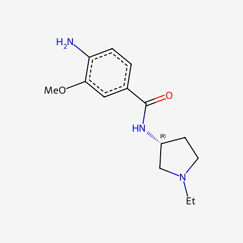 CCN1CC[C@@H](NC(=O)c2ccc(N)c(OC)c2)C1